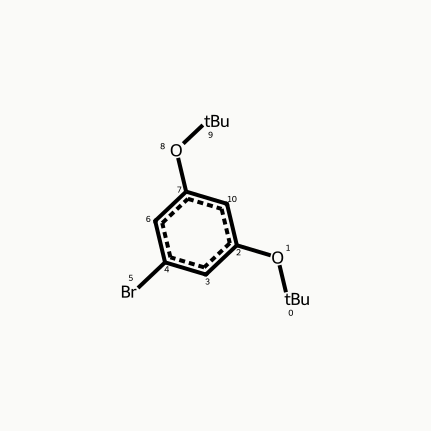 CC(C)(C)Oc1cc(Br)cc(OC(C)(C)C)c1